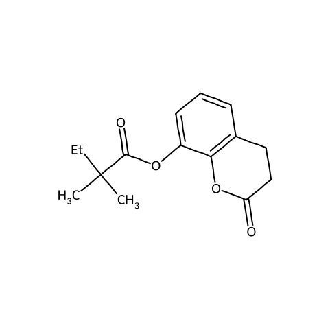 CCC(C)(C)C(=O)Oc1cccc2c1OC(=O)CC2